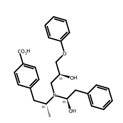 C[C@H](Cc1ccc(C(=O)O)cc1)N(C[C@H](O)COc1ccccc1)[C@H](O)Cc1ccccc1